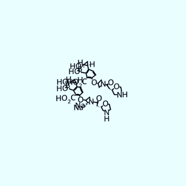 O=C(O)c1c(OC2CN(C(=O)C[C@H]3CNCCO3)C2)ccc2c1C[B-](O)(O)[C@H]1C[C@@H]21.O=C(O)c1c(OC2CN(C(=O)C[C@H]3CNCCO3)C2)ccc2c1C[B-](O)(O)[C@H]1C[C@@H]21.[Na+].[Na+]